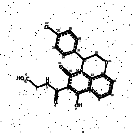 O=C(O)CNC(=O)c1c(O)c2cccc3c2n(c1=O)C(c1ccc(Cl)cc1)CO3